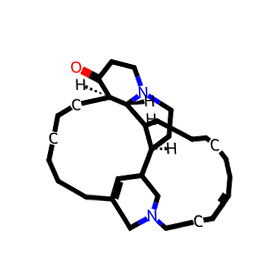 O=C1CCN2CC[C@H]3C4C=C5CCCCCC[C@@H]1[C@H]2[C@H]3CCCCCC/C=C\CCCN(C5)C4